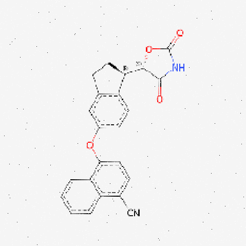 N#Cc1ccc(Oc2ccc3c(c2)CC[C@H]3[C@@H]2OC(=O)NC2=O)c2ccccc12